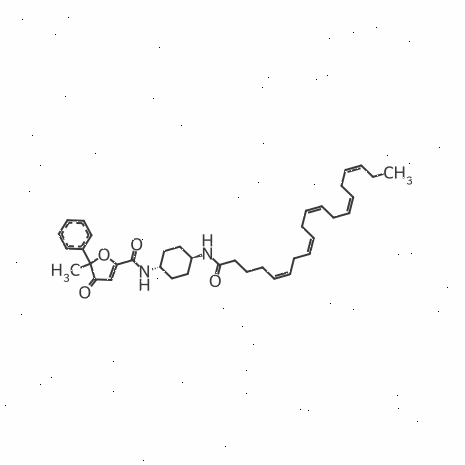 CC/C=C\C/C=C\C/C=C\C/C=C\C/C=C\CCCC(=O)N[C@H]1CC[C@H](NC(=O)C2=CC(=O)C(C)(c3ccccc3)O2)CC1